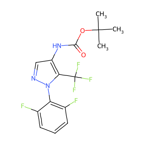 CC(C)(C)OC(=O)Nc1cnn(-c2c(F)cccc2F)c1C(F)(F)F